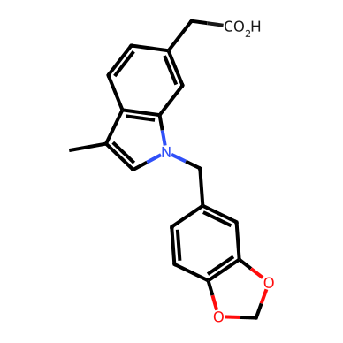 Cc1cn(Cc2ccc3c(c2)OCO3)c2cc(CC(=O)O)ccc12